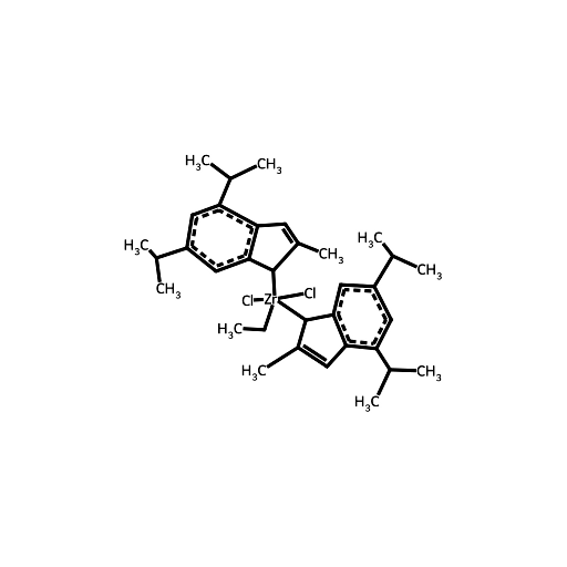 C[CH2][Zr]([Cl])([Cl])([CH]1C(C)=Cc2c(C(C)C)cc(C(C)C)cc21)[CH]1C(C)=Cc2c(C(C)C)cc(C(C)C)cc21